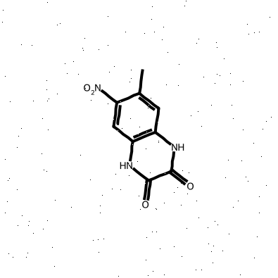 Cc1cc2[nH]c(=O)c(=O)[nH]c2cc1[N+](=O)[O-]